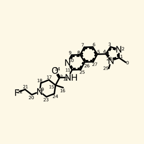 Cc1ncc(-c2ccc3cnc(NC(=O)C4(C)CCN(CCF)CC4)cc3c2)n1C